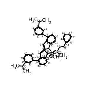 CC(C)c1cccc(-c2cccc3c2C=C[CH]3[Hf]([CH3])([CH3])([CH]2C=Cc3c(-c4cccc(C(C)C)c4)cccc32)=[Si](C)CCc2ccccc2)c1